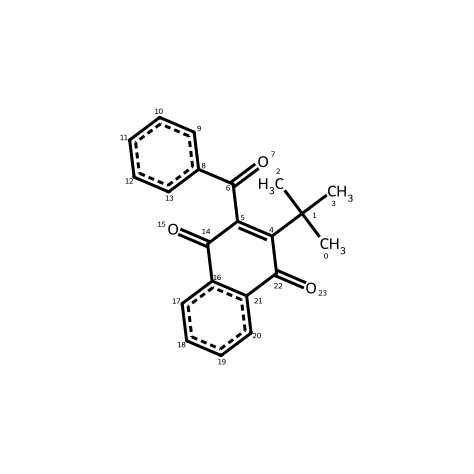 CC(C)(C)C1=C(C(=O)c2ccccc2)C(=O)c2ccccc2C1=O